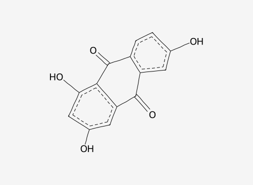 O=C1c2cc(O)ccc2C(=O)c2c(O)cc(O)cc21